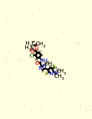 CN(C)c1nc(F)c(-c2cnc(C(=O)Nc3ccc(C(=O)OC(C)(C)C)c(Cl)c3)n2C)cc1F